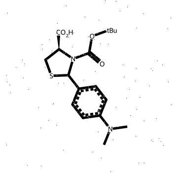 CN(C)c1ccc(C2SC[C@@H](C(=O)O)N2C(=O)OC(C)(C)C)cc1